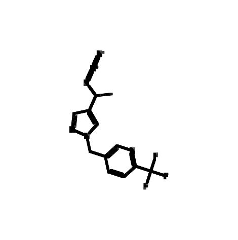 CC(N=[N+]=[N-])c1cnn(Cc2ccc(C(F)(F)F)nc2)c1